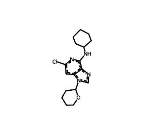 Clc1cc2c(ncn2C2CCCCO2)c(NC2CCCCC2)n1